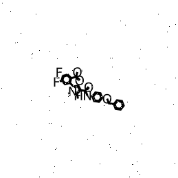 COC(=O)c1cc(F)c(F)cc1-c1cc(C(=O)Nc2ccc(OCc3ccccc3)cc2)c(C)n1C